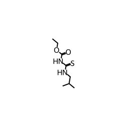 CCOC(=O)NC(=S)NCC(C)C